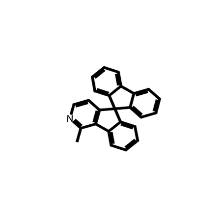 Cc1nccc2c1-c1ccccc1C21c2ccccc2-c2ccccc21